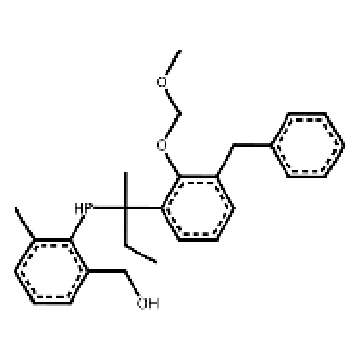 CCC(C)(Pc1c(C)cccc1CO)c1cccc(Cc2ccccc2)c1OCOC